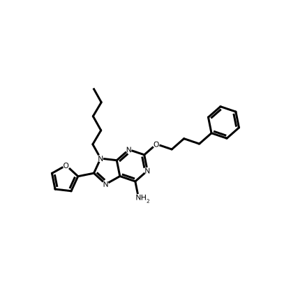 CCCCCn1c(-c2ccco2)nc2c(N)nc(OCCCc3ccccc3)nc21